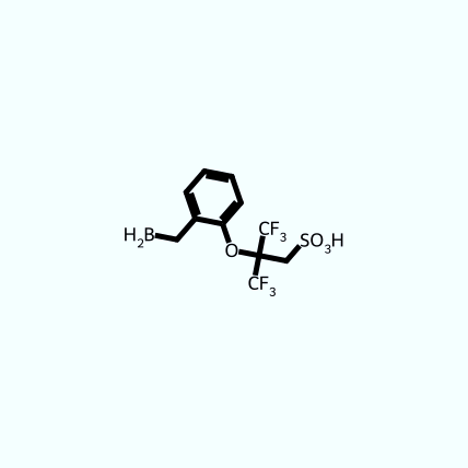 BCc1ccccc1OC(CS(=O)(=O)O)(C(F)(F)F)C(F)(F)F